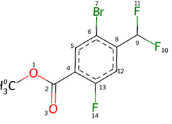 COC(=O)c1cc(Br)c(C(F)F)cc1F